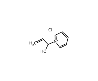 C=CC(O)[n+]1ccccc1.[Cl-]